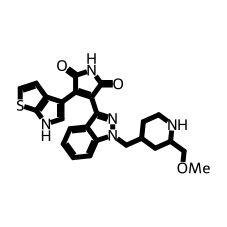 COCC1CC(Cn2nc(C3=C(c4c[nH]c5sccc45)C(=O)NC3=O)c3ccccc32)CCN1